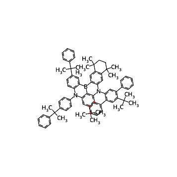 CC(C)(C)c1cc2c3c(c1)N(c1cc(-c4ccccc4)c(C(C)(C)C)cc1-c1ccccc1)c1cc4c(cc1B3c1cc(C(C)(C)c3ccccc3)ccc1N2c1ccc(C(C)(C)c2ccccc2)cc1)C(C)(C)CCC4(C)C